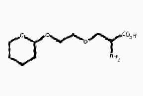 NC(COCCOC1CCCCO1)C(=O)O